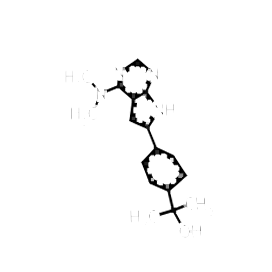 CN(C)c1ncnc2[nH]c(-c3ccc(C(C)(C)O)cc3)cc12